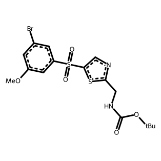 COc1cc(Br)cc(S(=O)(=O)c2cnc(CNC(=O)OC(C)(C)C)s2)c1